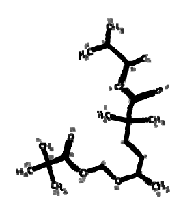 CC(CCC(C)(C)C(=O)OC(Cl)C(C)C)OCOC(=O)C(C)(C)C